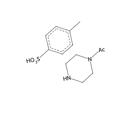 CC(=O)N1CCNCC1.Cc1ccc(S(=O)(=O)O)cc1